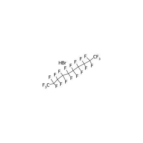 Br.FC(F)(F)C(F)(F)C(F)(F)C(F)(F)C(F)(F)C(F)(F)C(F)(F)C(F)(F)C(F)(F)C(F)(F)F